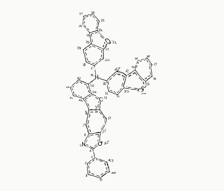 c1ccc(-c2nc3cc4c(cc3o2)oc2c(N(c3ccc5c(c3)oc3ccccc35)c3ccc5oc6ccccc6c5c3)cccc24)cc1